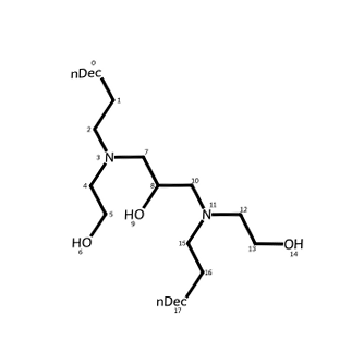 CCCCCCCCCCCCN(CCO)CC(O)CN(CCO)CCCCCCCCCCCC